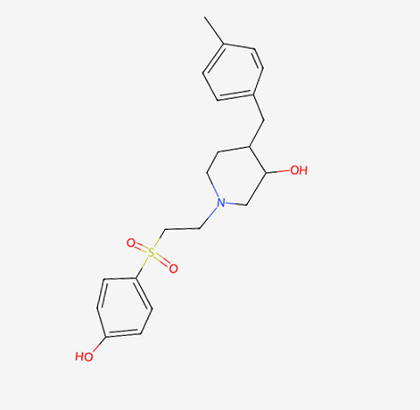 Cc1ccc(CC2CCN(CCS(=O)(=O)c3ccc(O)cc3)CC2O)cc1